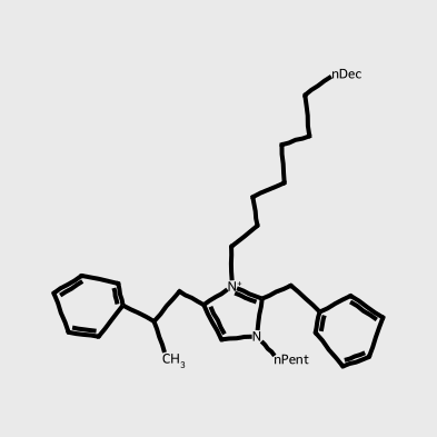 CCCCCCCCCCCCCCCCC[n+]1c(CC(C)c2ccccc2)cn(CCCCC)c1Cc1ccccc1